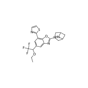 CCOC(c1cc(-c2nccs2)c2oc(N3CC4CC(C3)N4)nc2c1)C(F)(F)F